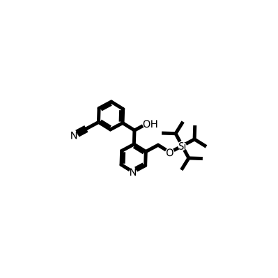 CC(C)[Si](OCc1cnccc1C(O)c1cccc(C#N)c1)(C(C)C)C(C)C